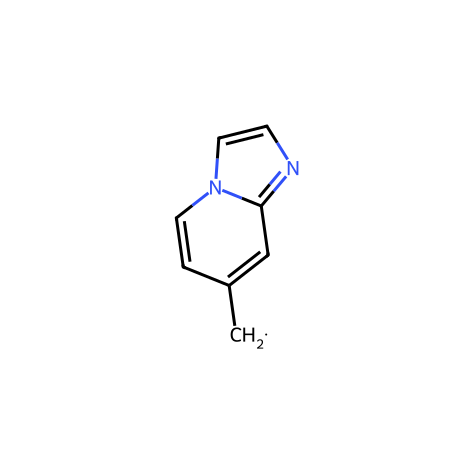 [CH2]c1ccn2ccnc2c1